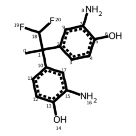 CC(c1ccc(O)c(N)c1)(c1ccc(O)c(N)c1)C(F)F